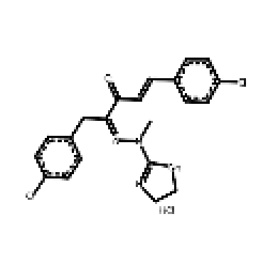 CN(N=C(Cc1ccc(Cl)cc1)C(=O)C=Cc1ccc(Cl)cc1)C1=NCCN1.Cl